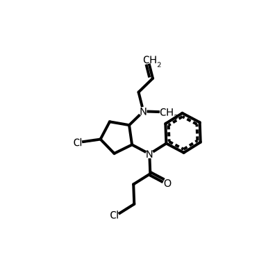 C=CCN(C)C1CC(Cl)CC1N(C(=O)CCCl)c1ccccc1